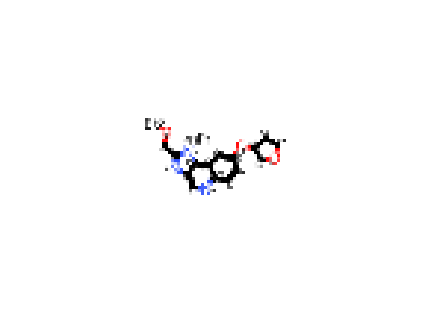 CCCn1c(COCC)nc2cnc3ccc(OC4CCOC4)cc3c21